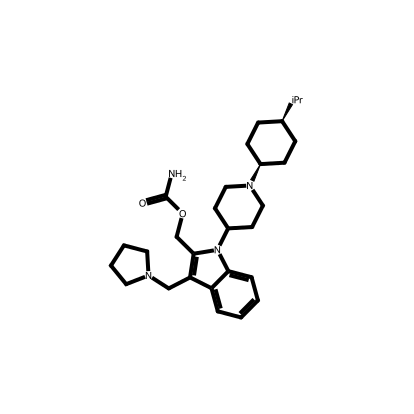 CC(C)[C@H]1CC[C@@H](N2CCC(n3c(COC(N)=O)c(CN4CCCC4)c4ccccc43)CC2)CC1